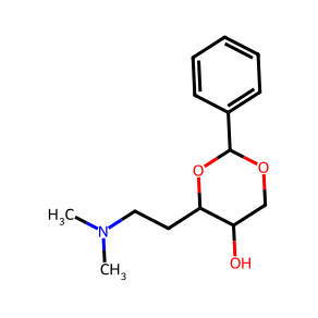 CN(C)CCC1OC(c2ccccc2)OCC1O